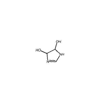 OC1N=CNC1O